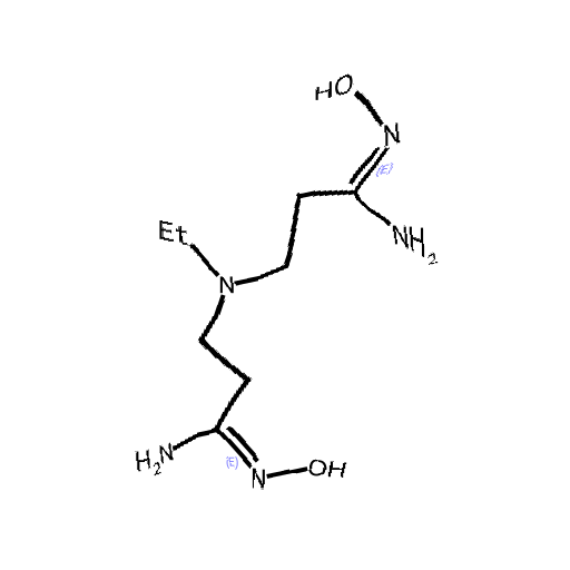 CCN(CC/C(N)=N\O)CC/C(N)=N\O